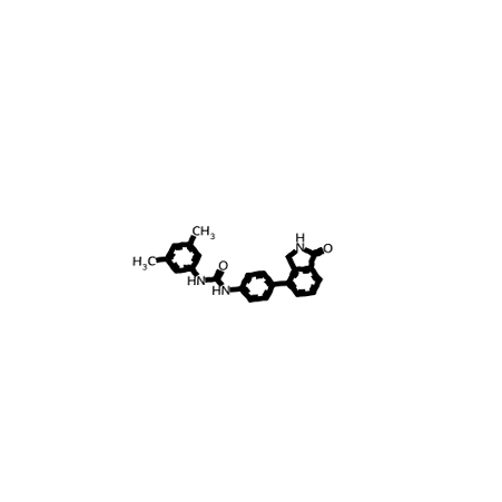 Cc1cc(C)cc(NC(=O)Nc2ccc(-c3cccc4c3CNC4=O)cc2)c1